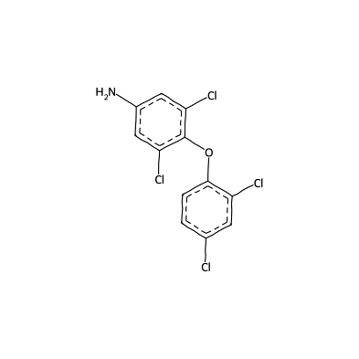 Nc1cc(Cl)c(Oc2ccc(Cl)cc2Cl)c(Cl)c1